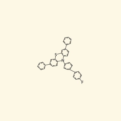 Fc1ccc(-c2ccc(N3c4ccc(-c5ccccc5)cc4Sc4cc(-c5ccccc5)ccc43)cc2)cc1